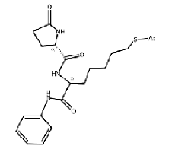 CC(=O)SCCCCC[C@H](NC(=O)[C@@H]1CCC(=O)N1)C(=O)Nc1ccccc1